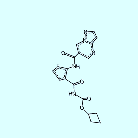 O=C(NC(=O)c1ccsc1NC(=O)c1cnc2ccnn2c1)OC1CCC1